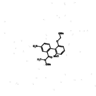 COCOc1cccc(OC)c1-c1ccc([N+](=O)[O-])cc1C(=O)N(C)OC